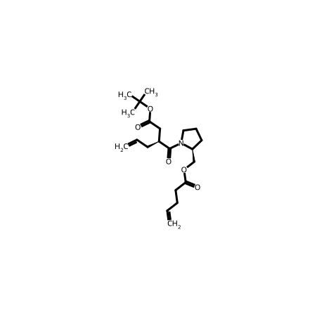 C=CCCC(=O)OC[C@@H]1CCCN1C(=O)[C@@H](CC=C)CC(=O)OC(C)(C)C